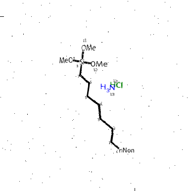 CCCCCCCCCCCCCCCC[Si](OC)(OC)OC.Cl.N